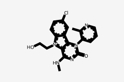 CNc1nc(=O)n(-c2cccnc2C)c2c3cc(Cl)ccc3n(CCO)c12